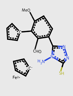 COc1ccc(-c2nnc(S)n2N)c(C=O)c1-[c-]1cccc1.[Fe+2].c1cc[cH-]c1